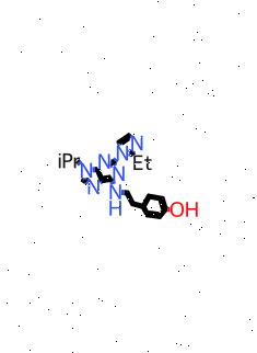 CCc1nccn1-c1nc(NCCC2C=CC(O)=CC2)c2ncn(C(C)C)c2n1